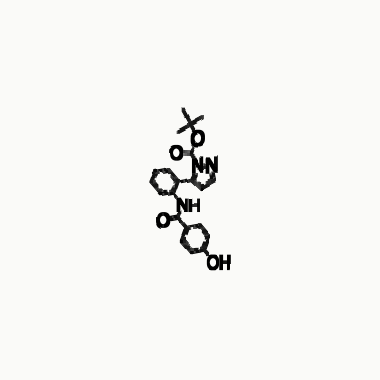 CC(C)(C)OC(=O)n1nccc1-c1ccccc1NC(=O)c1ccc(O)cc1